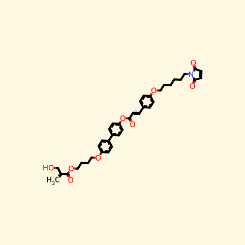 C=C(CO)C(=O)OCCCCOc1ccc(-c2ccc(OC(=O)/C=C/c3ccc(OCCCCCCN4C(=O)C=CC4=O)cc3)cc2)cc1